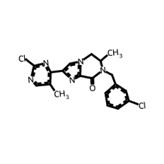 Cc1cnc(Cl)nc1-c1cn2c(n1)C(=O)N(Cc1cccc(Cl)c1)C(C)C2